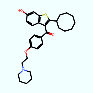 O=C(c1ccc(OCCN2CCCCC2)cc1)c1c(C2CCCCCCC2)sc2cc(O)ccc12